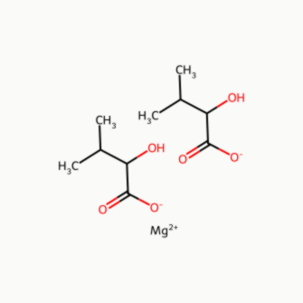 CC(C)C(O)C(=O)[O-].CC(C)C(O)C(=O)[O-].[Mg+2]